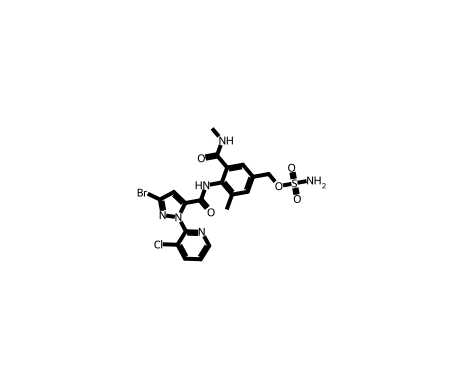 CNC(=O)c1cc(COS(N)(=O)=O)cc(C)c1NC(=O)c1cc(Br)nn1-c1ncccc1Cl